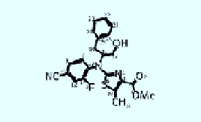 COC(=O)c1nc(N(c2ccc(C#N)cc2F)C(CO)Cc2ccccc2)sc1C